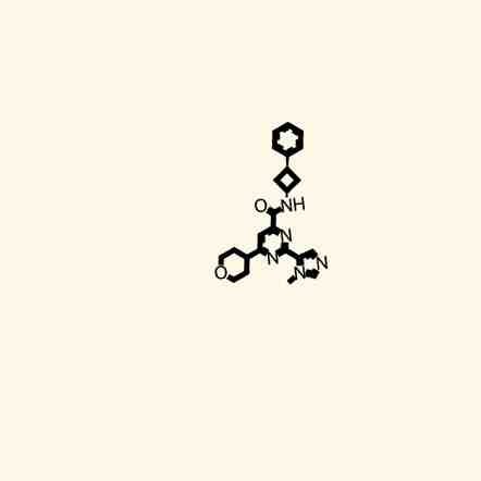 Cn1cncc1-c1nc(C(=O)N[C@H]2C[C@H](c3ccccc3)C2)cc(C2CCOCC2)n1